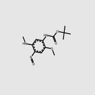 CNc1cc(NC(=O)OC(C)(C)C)c(OC)cc1N=O